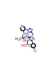 CC(C)(O)CNc1ccncc1-n1cnc(Cn2nc(-c3ccc(Cl)cc3)n(CC(O)C(F)(F)F)c2=O)n1